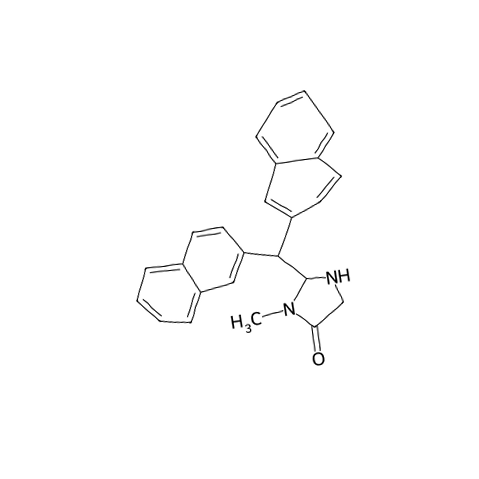 CN1C(=O)CNC1C(c1ccc2ccccc2c1)c1ccc2ccccc2c1